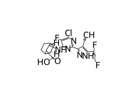 C#Cc1c(-c2nc(Cl)c(F)c(N[C@H]3C4CCC(CC4)[C@@H]3C(=O)O)n2)n[nH]c1/C(F)=C\CF